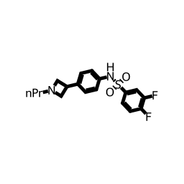 CCCN1CC(c2ccc(NS(=O)(=O)c3ccc(F)c(F)c3)cc2)C1